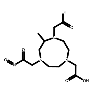 CC1CN(CC(=O)N=O)CCN(CC(=O)O)CCN1CC(=O)O